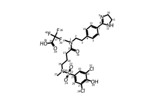 CN(CCc1ccc(C2=NCCN2)cc1)C(=O)CCCN(C)S(=O)(=O)c1cc(Cl)c(O)c(Cl)c1.O=C(O)C(F)(F)F